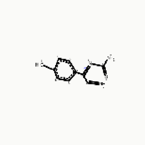 Cc1ccc(/C(C=N)=N/C(N)=O)cc1